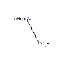 CCCCCCCC(CCCCCCCCC=CCCCCCCCC(=O)O)N(C)C